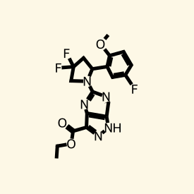 CCOC(=O)c1n[nH]c2cnc(N3CC(F)(F)CC3c3cc(F)ccc3OC)nc12